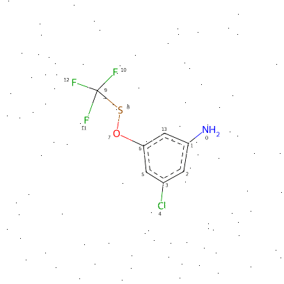 Nc1cc(Cl)cc(OSC(F)(F)F)c1